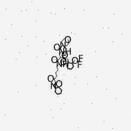 O=C(CCCCNC(=O)C(CNC(=O)N1CCOCC1)S(=O)(=O)Cc1ccccc1OC(F)F)c1nc2ccccc2o1